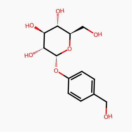 OCc1ccc(O[C@H]2O[C@H](CO)[C@@H](O)[C@H](O)[C@H]2O)cc1